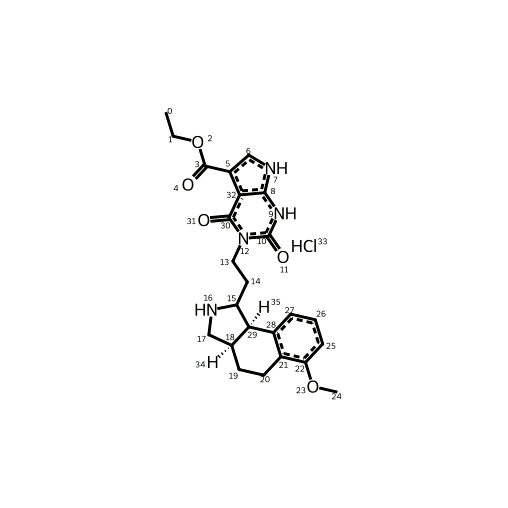 CCOC(=O)c1c[nH]c2[nH]c(=O)n(CCC3NC[C@@H]4CCc5c(OC)cccc5[C@H]34)c(=O)c12.Cl